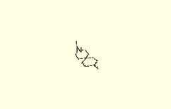 CC1CCC2(CC1)CCN(I)CC2